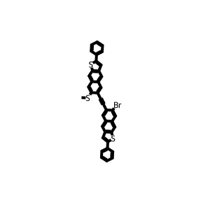 CSc1cc2cc3sc(-c4ccccc4)cc3cc2cc1C#Cc1cc2cc3cc(-c4ccccc4)sc3cc2cc1Br